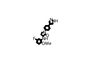 COc1ccc(F)cc1NC1CCN(c2ccc(-c3cn[nH]c3)cc2)C1=O